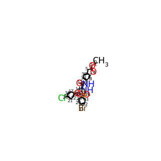 CCOC(=O)Cc1ccc(NC(=O)[C@H](COc2ccc(Cl)cc2)NS(=O)(=O)c2ccc(Br)cc2)cc1